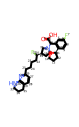 O=C(O)[C@@H](c1cc(F)ccc1[C@H]1CCCO1)N1CC[C@@H](C(F)CCCCc2ccc3c(n2)NCCC3)C1